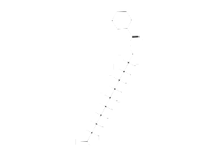 O=C(OCC(F)(F)C(F)(F)C(F)(F)C(F)(F)C(F)(F)C(F)(F)C(F)(F)C(F)(F)C(F)(F)C(F)F)C1CCCCC1